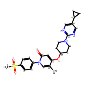 CS(=O)(=O)c1ccc(-n2cc(C#N)c(OC3CCN(c4ncc(C5CC5)cn4)CC3)cc2=O)cc1